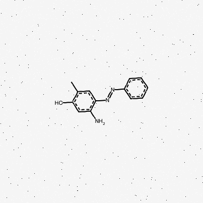 Cc1cc(N=Nc2ccccc2)c(N)cc1O